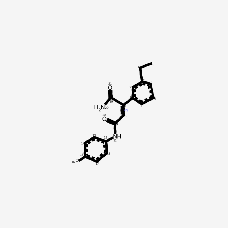 CCc1cccc(/C(=C/C(=O)Nc2ccc(F)cc2)C(N)=O)c1